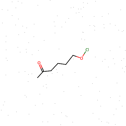 CC(=O)CCCCOCl